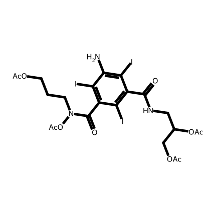 CC(=O)OCCCN(OC(C)=O)C(=O)c1c(I)c(N)c(I)c(C(=O)NCC(COC(C)=O)OC(C)=O)c1I